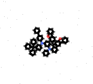 c1ccc(-c2ccc(N(c3ccc4c(c3)N(c3ccccc3)c3ccccc3[Si]4(c3ccc4c(c3)oc3ccccc34)c3ccc4c(c3)oc3ccccc34)c3ccc4c(c3)C(c3ccccc3)(c3ccccc3)c3ccccc3-4)cc2)cc1